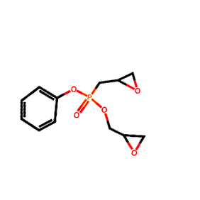 O=P(CC1CO1)(OCC1CO1)Oc1ccccc1